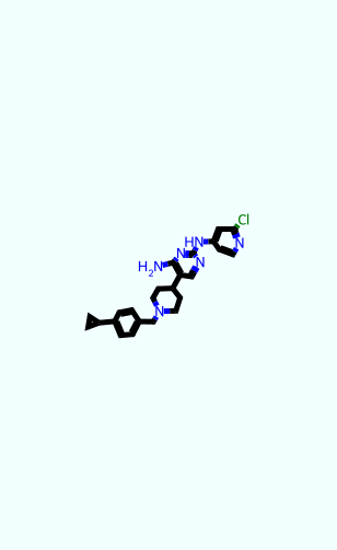 Nc1nc(Nc2ccnc(Cl)c2)ncc1C1CCN(Cc2ccc(C3CC3)cc2)CC1